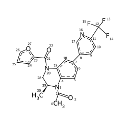 CC(=O)N1c2ccc(-c3ccc(C(F)(F)F)nc3)cc2N(C(=O)c2ccco2)C[C@@H]1C